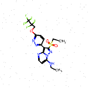 CCNc1ccnc2c(-c3ccc(OCC(F)(F)C(F)(F)F)nn3)c(S(=O)(=O)CC)nn12